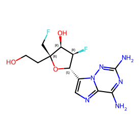 Nc1nc(N)c2ncc([C@@H]3O[C@](CF)(CCO)[C@@H](O)[C@H]3F)n2n1